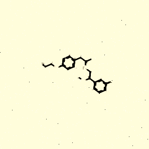 Br.COC(CNC(C)Cc1ccc(OCCO)cc1)c1cccc(Cl)c1